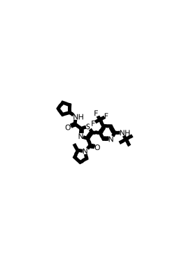 CC1CCCN1C(=O)c1nc(C(=O)NC2CCCC2)sc1-c1cnc(NC(C)(C)C)cc1C(F)(F)F